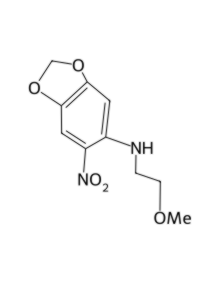 COCCNc1cc2c(cc1[N+](=O)[O-])OCO2